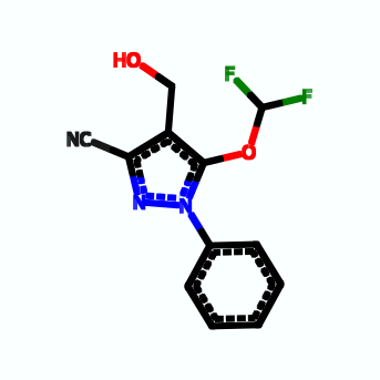 N#Cc1nn(-c2ccccc2)c(OC(F)F)c1CO